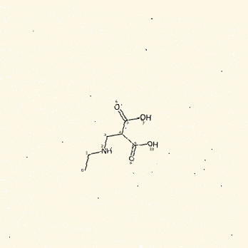 CCNCC(C(=O)O)C(=O)O